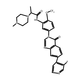 CC(C(=O)Nc1cc(-n2cnc3cc(-c4ccncc4F)ccc3c2=O)ccc1OC(F)(F)F)N1CCN(C)CC1